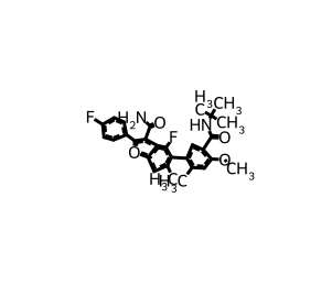 COc1cc(C)c(-c2c(C)cc3oc(-c4ccc(F)cc4)c(C(N)=O)c3c2F)cc1C(=O)NC(C)(C)C